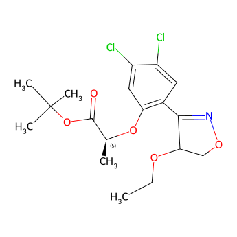 CCOC1CON=C1c1cc(Cl)c(Cl)cc1O[C@@H](C)C(=O)OC(C)(C)C